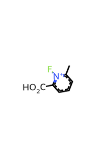 Cc1cccc(C(=O)O)[n+]1F